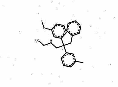 Cc1cccc(C(CNCC(F)(F)F)(Cc2ccccc2)c2cccc(OC(F)(F)F)c2)c1